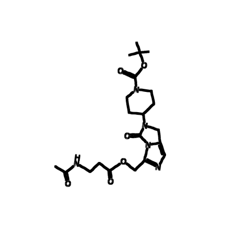 CC(=O)NCCC(=O)OCc1ncc2n1C(=O)N(C1CCN(C(=O)OC(C)(C)C)CC1)C2